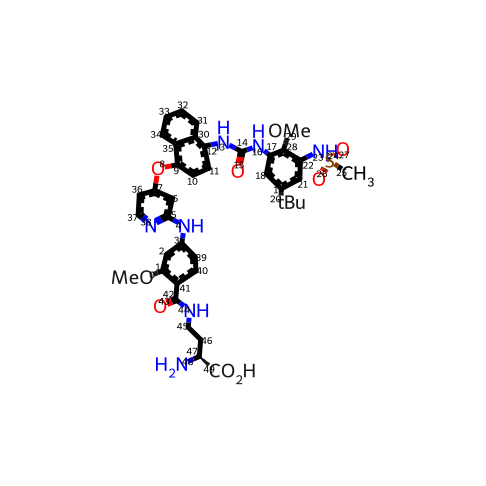 COc1cc(Nc2cc(Oc3ccc(NC(=O)Nc4cc(C(C)(C)C)cc(NS(C)(=O)=O)c4OC)c4ccccc34)ccn2)ccc1C(=O)NCC[C@H](N)C(=O)O